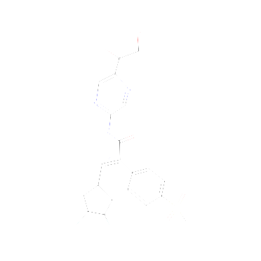 CS(=O)(=O)c1ccc(/C(=C\C2CC(F)C(F)C2)C(=O)Nc2cnc(C(O)CO)cn2)cc1